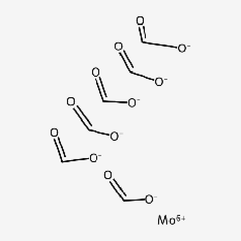 O=C[O-].O=C[O-].O=C[O-].O=C[O-].O=C[O-].O=C[O-].[Mo+6]